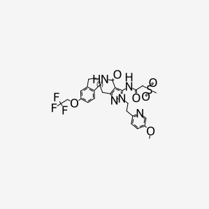 COc1ccc(CCn2nc3c(c2NC(=O)CS(C)(=O)=O)C(=O)N[C@@]2(CCc4cc(OCC(F)(F)F)ccc42)C3)nc1